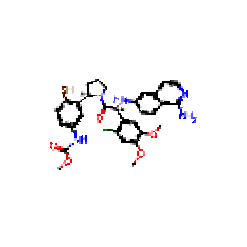 COC(=O)Nc1ccc(S)c([C@H]2CCCN2C(=O)[C@H](Nc2ccc3c(N)nccc3c2)c2cc(OC)c(OC)cc2F)c1